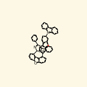 c1ccc(C2=NC(c3cccc4oc5cccc(-c6ccc7c(c6)sc6cc(-n8c9ccccc9c9ccccc98)ccc67)c5c34)NC(c3ccccc3)=N2)cc1